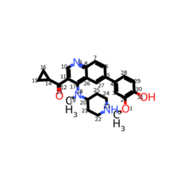 COc1cc(-c2ccc3ncc(C(=O)C4CC4)c(N(C)C4CCNCC4)c3c2)ccc1O